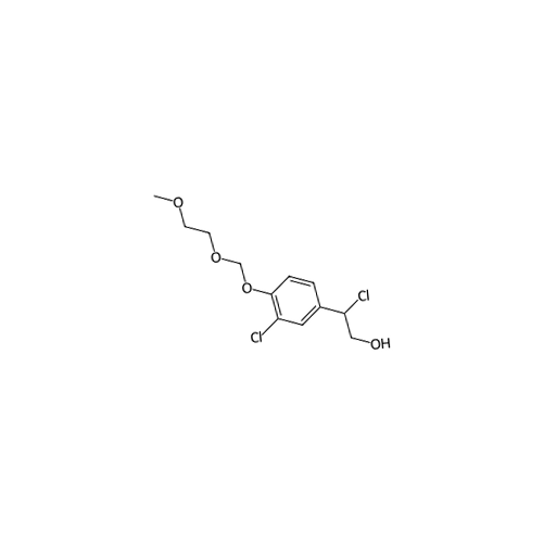 COCCOCOc1ccc(C(Cl)CO)cc1Cl